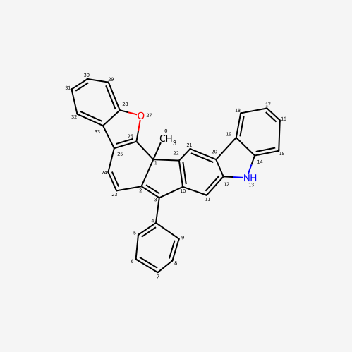 CC12C(=C(c3ccccc3)c3cc4[nH]c5ccccc5c4cc31)C=Cc1c2oc2ccccc12